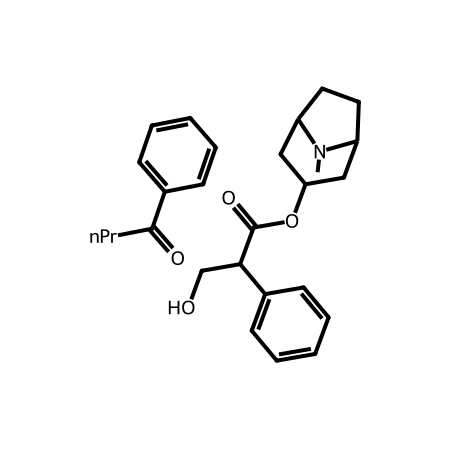 CCCC(=O)c1ccccc1.CN1C2CCC1CC(OC(=O)C(CO)c1ccccc1)C2